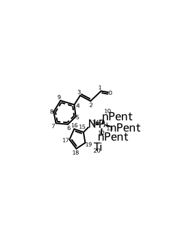 C=CC=Cc1ccccc1.CCCCCP(CCCCC)(CCCCC)=NC1=CC=CC1.[Ti]